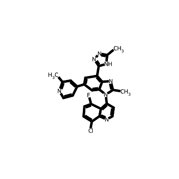 Cc1cc(-c2cc(-c3nnc(C)[nH]3)c3nc(C)n(-c4ccnc5c(Cl)ccc(F)c45)c3c2)ccn1